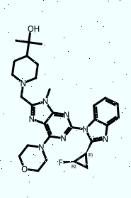 Cn1c(CN2CCC(C(C)(C)O)CC2)nc2c(N3CCOCC3)nc(-n3c([C@H]4C[C@H]4F)nc4ccccc43)nc21